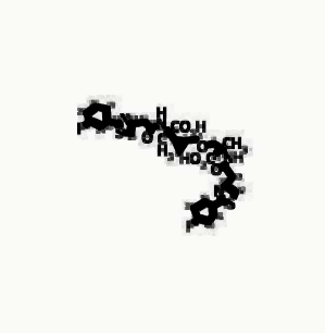 CC(COCC1CC1C(C)(NC(=O)Cc1csc(-c2cccc(F)c2)n1)C(=O)O)(NC(=O)Cc1csc(-c2ccc(F)cc2)n1)C(=O)O